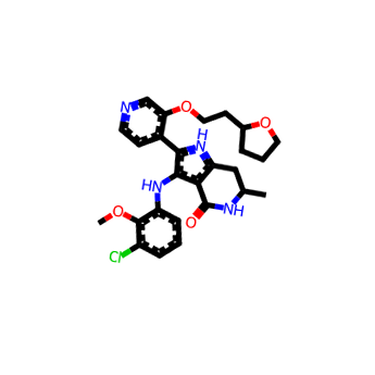 COc1c(Cl)cccc1Nc1c(-c2ccncc2OCCC2CCCO2)[nH]c2c1C(=O)NC(C)C2